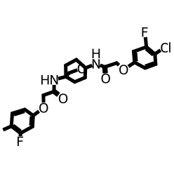 Cc1ccc(OCC(=O)NC23CCC(NC(=O)COc4ccc(Cl)c(F)c4)(CC2)CC3)cc1F